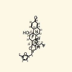 Cc1ccc(CN2C[C@@H]3C[C@H]4[C@@H]5CCC6=CC(=O)C=C[C@]6(C)[C@@]5(F)[C@@H](O)C[C@]4(C)[C@]3(C(=O)SCF)O2)o1